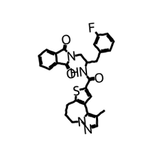 Cc1cnn2c1-c1cc(C(=O)NC(Cc3cccc(F)c3)CN3C(=O)c4ccccc4C3=O)sc1CCC2